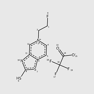 FCC[n+]1ccc2sc(S)nc2c1.O=C([O-])C(F)(F)F